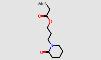 CNCC(=O)OCCCN1CCCCC1=O